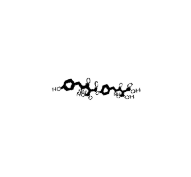 N[C@@H](Cc1ccc(OC(=O)C(C(=O)O)C(=O)[C@@H](N)Cc2ccc(O)cc2)cc1)C(=O)C(C(=O)O)C(=O)O